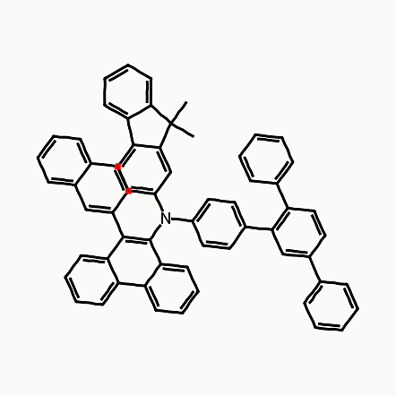 CC1(C)c2ccccc2-c2ccc(N(c3ccc(-c4cc(-c5ccccc5)ccc4-c4ccccc4)cc3)c3c(-c4ccc5ccccc5c4)c4ccccc4c4ccccc34)cc21